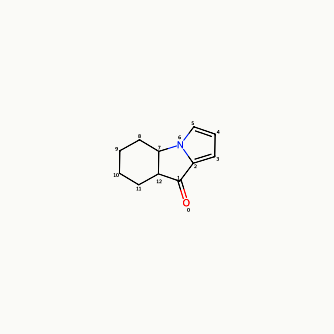 O=C1c2cccn2C2CCCCC12